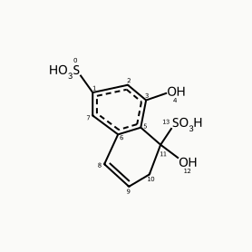 O=S(=O)(O)c1cc(O)c2c(c1)C=CCC2(O)S(=O)(=O)O